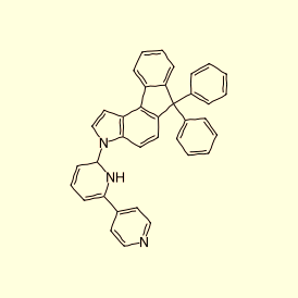 C1=CC(n2ccc3c4c(ccc32)C(c2ccccc2)(c2ccccc2)c2ccccc2-4)NC(c2ccncc2)=C1